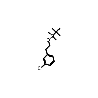 CC(C)(C)[Si](C)(C)OCCc1cccc(Cl)c1